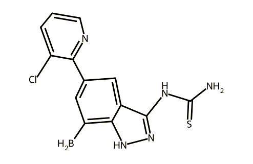 Bc1cc(-c2ncccc2Cl)cc2c(NC(N)=S)n[nH]c12